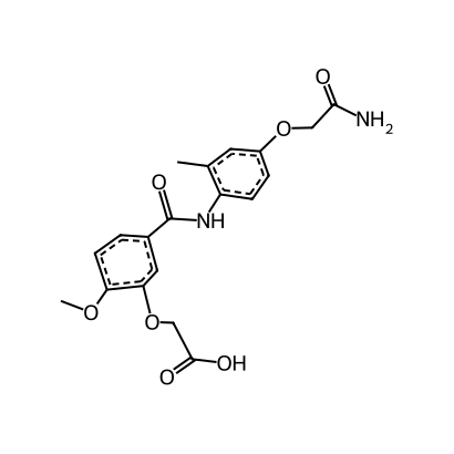 COc1ccc(C(=O)Nc2ccc(OCC(N)=O)cc2C)cc1OCC(=O)O